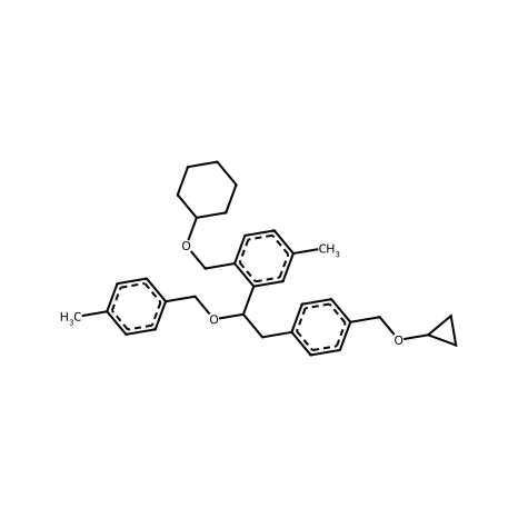 Cc1ccc(COC(Cc2ccc(COC3CC3)cc2)c2cc(C)ccc2COC2CCCCC2)cc1